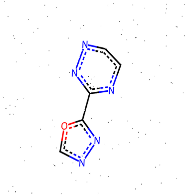 c1cnc(-c2nnco2)nn1